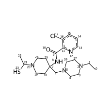 CCN1CCN(CC2(NC(=O)c3ncccc3Cl)CCN(C(C)S)CC2)CC1